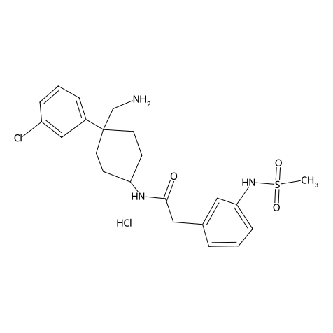 CS(=O)(=O)Nc1cccc(CC(=O)NC2CCC(CN)(c3cccc(Cl)c3)CC2)c1.Cl